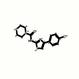 O=C(Nc1nc(-c2ccc(Cl)cc2)cs1)N1CCSCC1